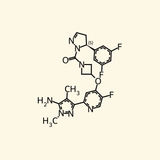 Cc1c(-c2cc(OC3CN(C(=O)N4N=CC[C@H]4c4cc(F)cc(F)c4)C3)c(F)cn2)nn(C)c1N